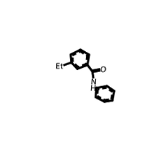 CCc1cccc(C(=O)Nc2ccccc2)c1